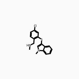 CNCc1ccc(Cl)cc1Sc1cn(C)c2ccccc12